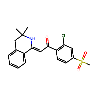 CC1(C)Cc2ccccc2C(=CC(=O)c2ccc(S(C)(=O)=O)cc2Cl)N1